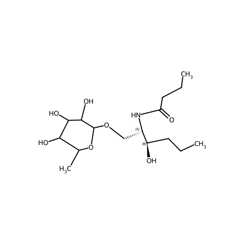 CCCC(=O)N[C@@H](COC1OC(C)C(O)C(O)C1O)[C@H](O)CCC